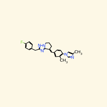 Cc1cn(-c2ccc(/C=C3\CCCn4nc(Cc5ccc(F)cc5)nc43)cc2C)cn1